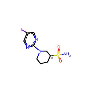 NS(=O)(=O)[C@H]1CCCN(c2ncc(I)cn2)C1